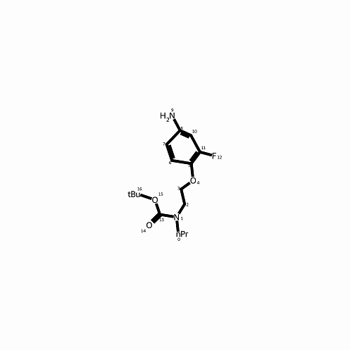 CCCN(CCOc1ccc(N)cc1F)C(=O)OC(C)(C)C